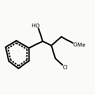 COCC(CCl)C(O)c1ccccc1